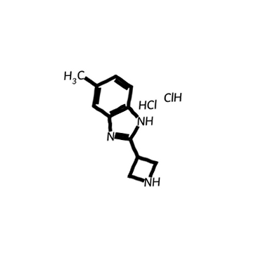 Cc1ccc2[nH]c(C3CNC3)nc2c1.Cl.Cl